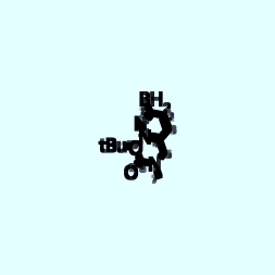 Bc1ccc(CN(C)C(=O)OC(C)(C)C)nn1